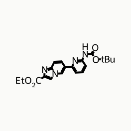 CCOC(=O)c1cn2cc(-c3cccc(NC(=O)OC(C)(C)C)n3)ccc2n1